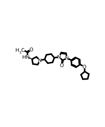 CC(=O)N[C@@H]1CCN(C2CCC(n3ccn(-c4ccc(OC5CCCC5)cc4)c3=O)CC2)C1